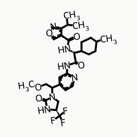 COCC(c1ccnc(NC(=O)[C@@H](NC(=O)c2conc2C(C)C)C2CCC(C)CC2)c1)N1C[C@@H](C(F)(F)F)NC1=O